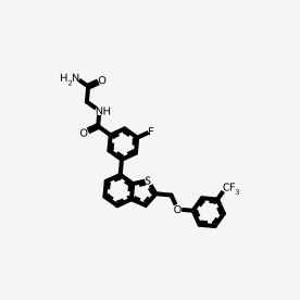 NC(=O)CNC(=O)c1cc(F)cc(-c2cccc3cc(COc4cccc(C(F)(F)F)c4)sc23)c1